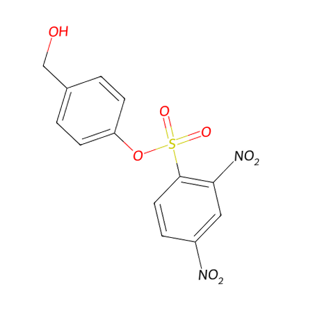 O=[N+]([O-])c1ccc(S(=O)(=O)Oc2ccc(CO)cc2)c([N+](=O)[O-])c1